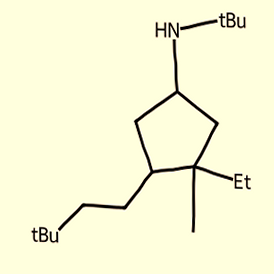 CCC1(C)CC(NC(C)(C)C)CC1CCC(C)(C)C